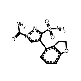 NC(=O)n1cc(-c2cccc3c2CCO3)c(S(N)(=O)=O)n1